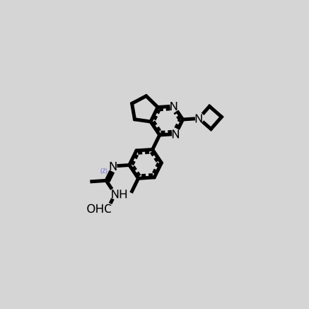 C/C(=N/c1cc(-c2nc(N3CCC3)nc3c2CCC3)ccc1C)NC=O